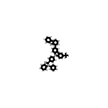 CC(C)(C)c1ccc2c(c1)c1cc(-c3cccc4c3sc3ccccc34)ccc1n2-c1ccc(-c2nc3ccccc3n2-c2ccccc2)cc1